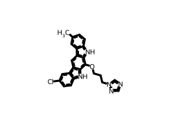 Cc1ccc2[nH]c3c(OCCCn4cncn4)c4[nH]c5ccc(Cl)cc5c4cc3c2c1